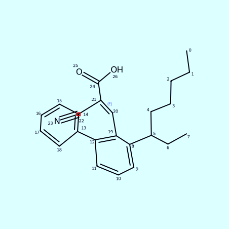 CCCCCC(CC)c1cccc(-c2ccccc2)c1/C=C(\C#N)C(=O)O